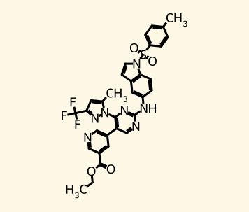 CCOC(=O)c1cncc(-c2cnc(Nc3ccc4c(ccn4S(=O)(=O)c4ccc(C)cc4)c3)nc2-n2nc(C(F)(F)F)cc2C)c1